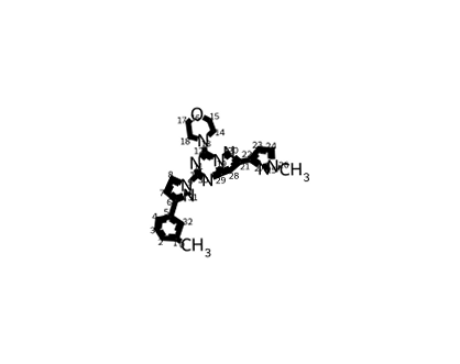 Cc1cccc(-c2ccn(-c3nc(N4CCOCC4)n4nc(-c5ccn(C)n5)cc4n3)n2)c1